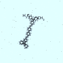 Cc1ccc(N(c2ccc(C)cc2)c2ccc(C=Cc3ccc(-c4ccc(C=Cc5ccc6c(c5)c5ccccc5n6-c5ccccc5)cc4)cc3)cc2)cc1